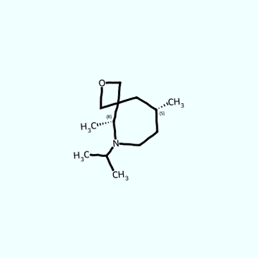 CC(C)N1CC[C@@H](C)CC2(COC2)[C@H]1C